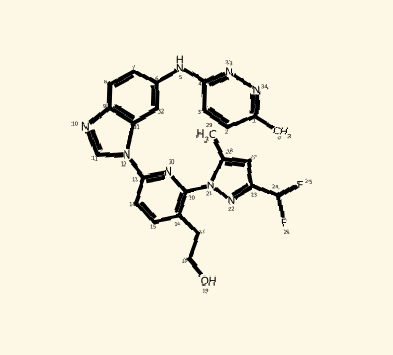 Cc1ccc(Nc2ccc3ncn(-c4ccc(CCO)c(-n5nc(C(F)F)cc5C)n4)c3c2)nn1